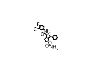 Cn1c(C(=O)Nc2ccc(F)c(Cl)c2)c2c(c1-c1ccccc1)C(OC(N)=O)CC2